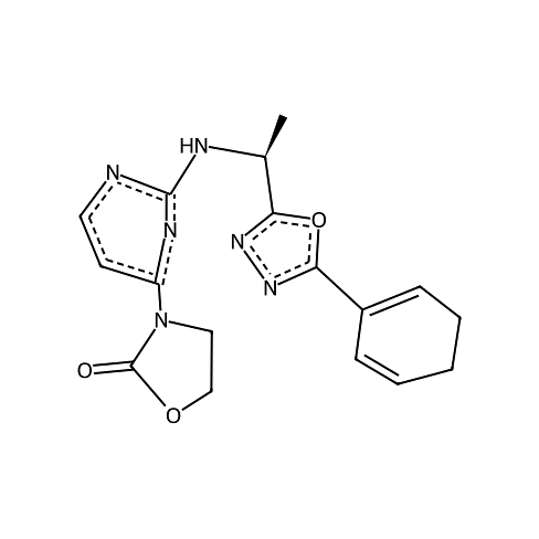 C[C@H](Nc1nccc(N2CCOC2=O)n1)c1nnc(C2=CCCC=C2)o1